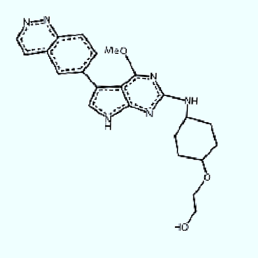 COc1nc(NC2CCC(OCCO)CC2)nc2[nH]cc(-c3ccc4nnccc4c3)c12